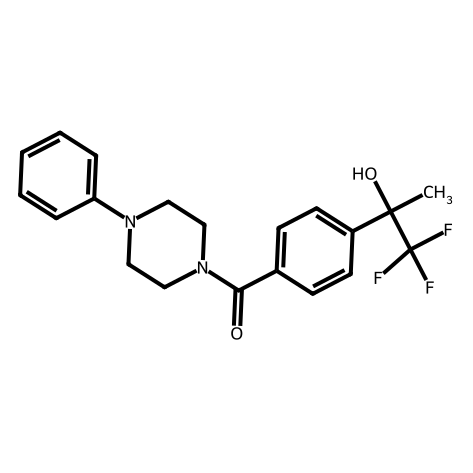 CC(O)(c1ccc(C(=O)N2CCN(c3ccccc3)CC2)cc1)C(F)(F)F